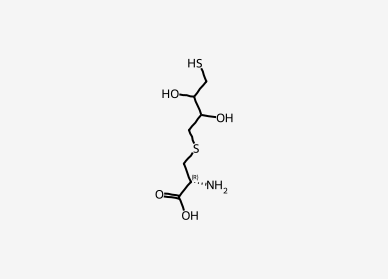 N[C@@H](CSCC(O)C(O)CS)C(=O)O